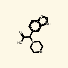 O=C(O)C(c1ccc2nc[nH]c2c1)N1CCNCC1